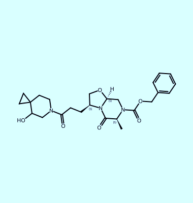 C[C@H]1C(=O)N2[C@@H](CCC(=O)N3CCC4(CC4)C(O)C3)CO[C@H]2CN1C(=O)OCc1ccccc1